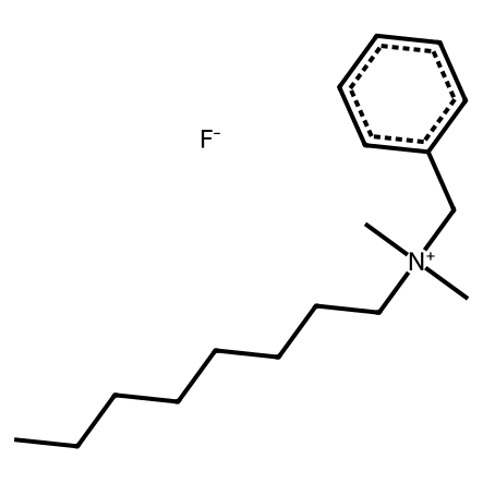 CCCCCCCC[N+](C)(C)Cc1ccccc1.[F-]